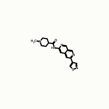 CN1CCC(C(=O)Nc2cc3cc(-c4cnsc4)ncc3cn2)CC1